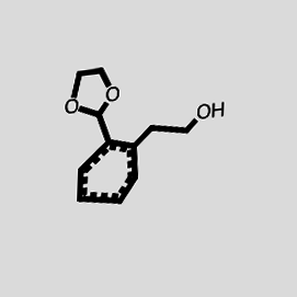 OCCc1ccccc1C1OCCO1